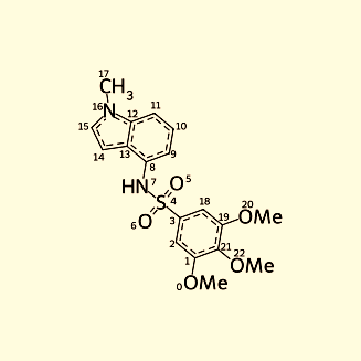 COc1cc(S(=O)(=O)Nc2cccc3c2ccn3C)cc(OC)c1OC